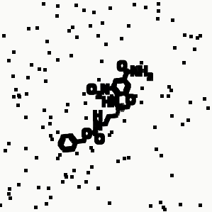 NC(=O)c1cc2c(c([N+](=O)[O-])c1)N[C@@H](CCCNC(=O)OCc1ccccc1)CO2